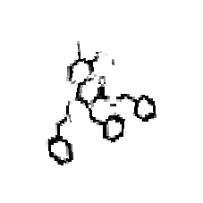 CC1O[C@H]([C@@H](COCc2ccccc2)N(Cc2ccccc2)C(=O)OCc2ccccc2)CCC1I